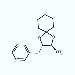 [CH2][C@@H]1OC2(CCCCC2)O[C@H]1Cc1ccccc1